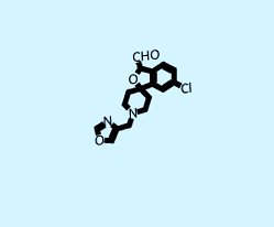 O=CC1OC2(CCN(Cc3cocn3)CC2)c2cc(Cl)ccc21